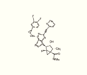 CNC(=O)[C@@]12C[C@@H]1[C@@H](n1cnc3c(NC4CC4c4ccc(F)c(F)c4)nc(C#Cc4ccccn4)nc31)[C@H](O)[C@@H]2O